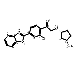 N[C@H]1CC[C@@H](NCC(=O)c2ccc(-c3nc4ncccc4o3)cc2F)C1